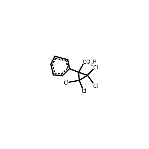 O=C(O)C1(c2ccccc2)C(Cl)(Cl)C1(Cl)Cl